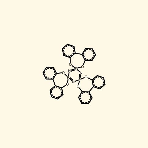 c1ccc2c(c1)OP1(=NP3(=NP4(=N1)Oc1ccccc1-c1ccccc1O4)Oc1ccccc1-c1ccccc1O3)Oc1ccccc1-2